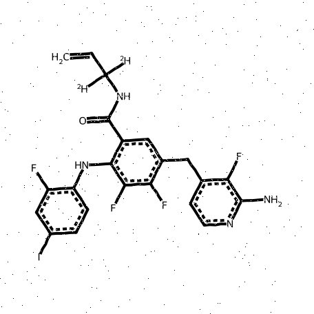 [2H]C([2H])(C=C)NC(=O)c1cc(Cc2ccnc(N)c2F)c(F)c(F)c1Nc1ccc(I)cc1F